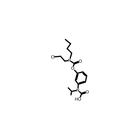 CCCCN(CCCl)C(=O)Oc1cccc(N(C(=O)O)C(C)C)c1